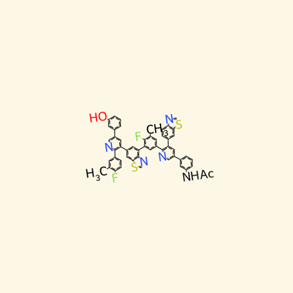 CC(=O)Nc1cccc(-c2cnc(-c3cc(C)c(F)c(-c4cc(-c5cc(-c6cccc(O)c6)cnc5-c5ccc(F)c(C)c5)cc5scnc45)c3)c(-c3ccc4ncsc4c3)c2)c1